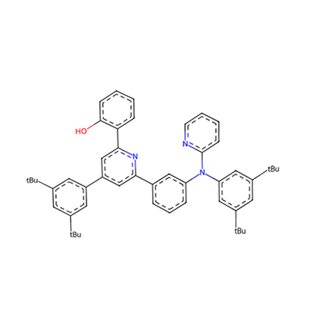 CC(C)(C)c1cc(-c2cc(-c3cccc(N(c4cc(C(C)(C)C)cc(C(C)(C)C)c4)c4ccccn4)c3)nc(-c3ccccc3O)c2)cc(C(C)(C)C)c1